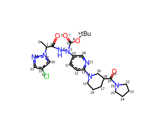 CC(C(=O)NN(C(=O)OC(C)(C)C)c1ccc(N2CCCC(C(=O)N3CCCC3)C2)nc1)n1cc(Cl)cn1